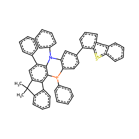 CC1(C)c2ccccc2-c2c1cc(-c1ccccc1)c1c2P(c2ccccc2)c2ccc(-c3cccc4c3sc3ccccc34)cc2N1c1ccccc1